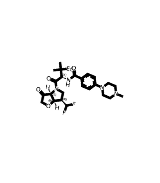 CCC(C)(C)[C@H](NC(=O)c1ccc(N2CCN(C)CC2)cc1)C(=O)N1C[C@@H](C(F)F)[C@H]2OCC(=O)[C@H]21